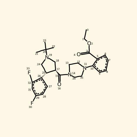 CCOC(=O)c1ccccc1N1CCN(C(=O)[C@@H]2CN(C(C)(C)C)C[C@H]2c2ccc(F)cc2F)CC1